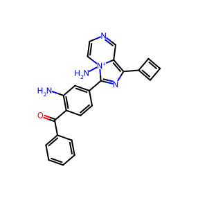 Nc1cc(C2=NC(C3=CC=C3)=C3C=NC=C[N+]23N)ccc1C(=O)c1ccccc1